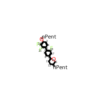 CCCCCOc1ccc(-c2ccc(C3CCC(CCCCC)CO3)cc2F)c(F)c1F